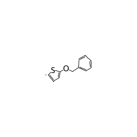 [c]1ccc(OCc2ccccc2)s1